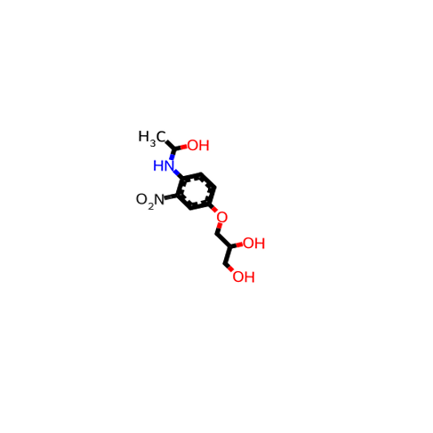 CC(O)Nc1ccc(OCC(O)CO)cc1[N+](=O)[O-]